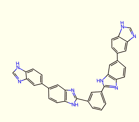 c1cc(-c2nc3cc(-c4ccc5[nH]cnc5c4)ccc3[nH]2)cc(-c2nc3ccc(-c4ccc5[nH]cnc5c4)cc3[nH]2)c1